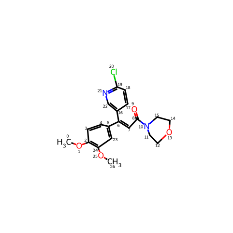 COc1ccc(C(=CC(=O)N2CCOCC2)c2ccc(Cl)nc2)cc1OC